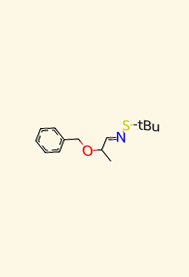 CC(C=NSC(C)(C)C)OCc1ccccc1